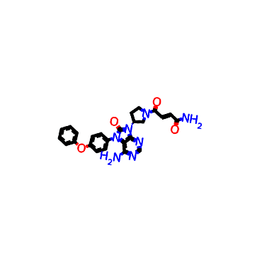 NC(=O)/C=C/C(=O)N1CC[C@@H](n2c(=O)n(-c3ccc(Oc4ccccc4)cc3)c3c(N)ncnc32)C1